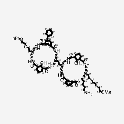 CCCOCCOCCN1CCNC(=O)c2cccc(c2O)C(=O)NCCN(CCN2CCNC(=O)c3cccc(c3C)C(=O)NCCN(CCOCCOCCOC)CC(CCCCN)NC(=O)c3cccc(c3O)C(=O)NCC2)CCNC(=O)c2cccc(c2OCc2ccccc2)C(=O)NCC1